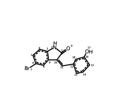 O=C1Nc2ccc(Br)cc2C1=Cc1cccc(O)c1